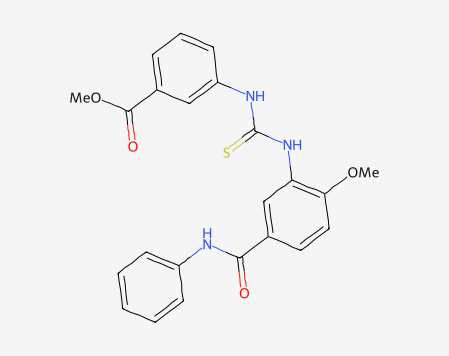 COC(=O)c1cccc(NC(=S)Nc2cc(C(=O)Nc3ccccc3)ccc2OC)c1